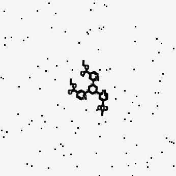 CCOC(=O)c1ccnc([C@@H]2C[C@H](c3cc(C(=O)OCC)ccn3)C[C@H](c3cc(C4OC(C)O4)ccn3)C2)c1